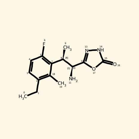 CCc1ccc(F)c([C@@H](C)[C@H](N)c2n[nH]c(=O)o2)c1C